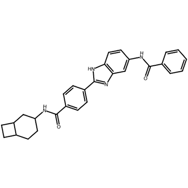 O=C(Nc1ccc2[nH]c(-c3ccc(C(=O)NC4CCC5CCC5C4)cc3)nc2c1)c1ccccc1